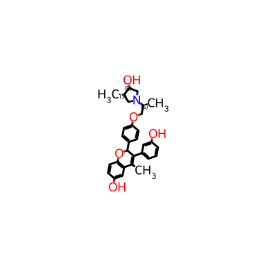 CC1=C(c2cccc(O)c2)C(c2ccc(OC[C@H](C)N3C[C@H](C)[C@@H](O)C3)cc2)Oc2ccc(O)cc21